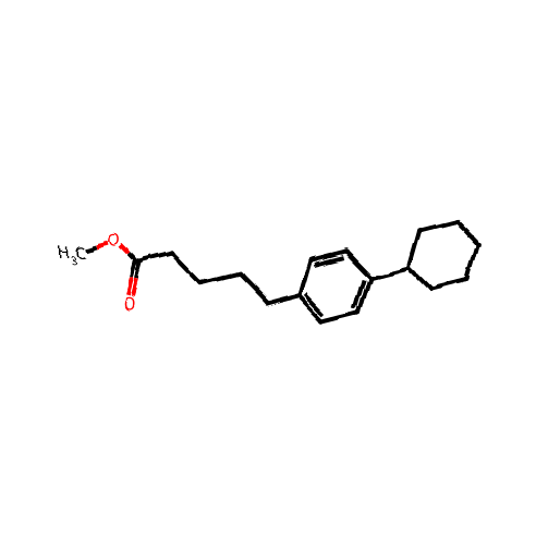 COC(=O)CCCCc1ccc(C2CCCCC2)cc1